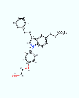 CCOC(=O)CCc1ccc2c(c1)c(CCc1ccccc1)cn2-c1ccc(OCCO)cc1